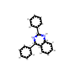 c1ccc(-c2nc(-c3ccccc3)c3ccccc3n2)cc1